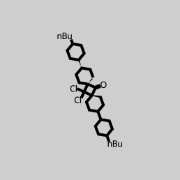 CCCCC1CCC(C2CC[C@]3(CC2)C(=O)[C@@]2(CC[C@@H](C4CCC(CCCC)CC4)CC2)C3(Cl)Cl)CC1